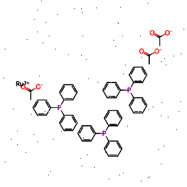 CC(=O)[O-].CC(=O)[O-].CC(=O)[O-].[Ru+3].c1ccc(P(c2ccccc2)c2ccccc2)cc1.c1ccc(P(c2ccccc2)c2ccccc2)cc1.c1ccc(P(c2ccccc2)c2ccccc2)cc1